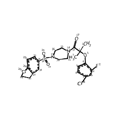 CC(C)(Oc1ccc(Cl)cc1F)C(=O)N1CCN(S(=O)(=O)c2ccc3c(c2)CCO3)CC1